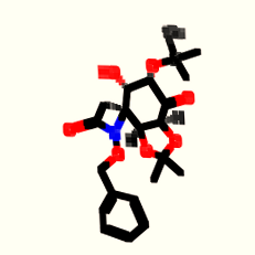 CC1(C)O[C@@H]2C(=O)[C@@H](O[Si](C)(C)C(C)(C)C)[C@@H](O)[C@@]3(CC(=O)N3OCc3ccccc3)[C@@H]2O1